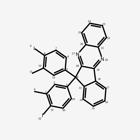 Cc1cc(C2(c3ccc(I)c(C)c3)c3ccccc3-c3nc4ccccc4nc32)ccc1I